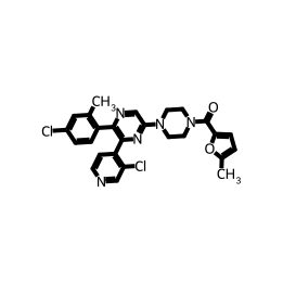 Cc1ccc(C(=O)N2CCN(c3cnc(-c4ccc(Cl)cc4C)c(-c4ccncc4Cl)n3)CC2)o1